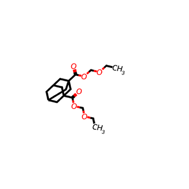 CCOCOC(=O)C12CC3CC(C1)CC(C(=O)OCOCC)(C3)C2